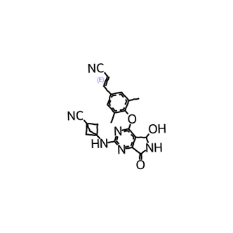 Cc1cc(/C=C/C#N)cc(C)c1Oc1nc(NC23CC(C#N)(C2)C3)nc2c1C(O)NC2=O